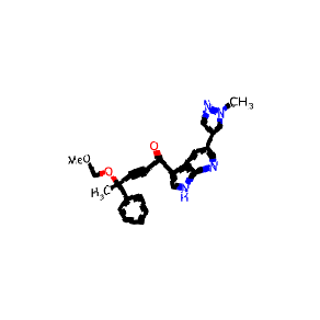 COCOC(C)(C#CC(=O)c1c[nH]c2ncc(-c3cnn(C)c3)cc12)c1ccccc1